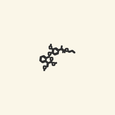 CCCO/N=C(\C)c1ccc(OCc2ccccc2/C(=C\OC)C(=O)OC)c(OC)c1